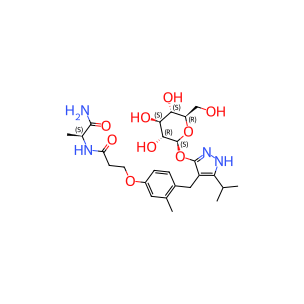 Cc1cc(OCCC(=O)N[C@@H](C)C(N)=O)ccc1Cc1c(O[C@@H]2O[C@H](CO)[C@@H](O)[C@H](O)[C@H]2O)n[nH]c1C(C)C